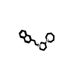 c1ccc2cc(CCN3CCCC(N4CCCCCC4)C3)ccc2c1